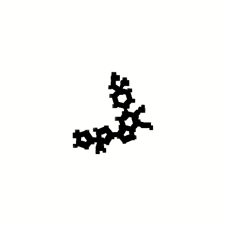 CC(=O)c1c(N)n2ncc(C3=C[N@+](C)(c4cn[nH]c4)N=C3)c2nc1[C@H]1CC[C@](O)(CO)CC1